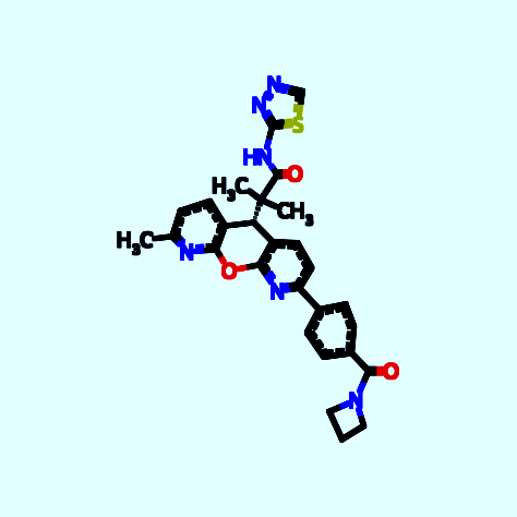 Cc1ccc2c(n1)Oc1nc(-c3ccc(C(=O)N4CCC4)cc3)ccc1[C@H]2C(C)(C)C(=O)Nc1nncs1